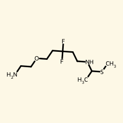 CSC(C)NCCC(F)(F)CCOCCN